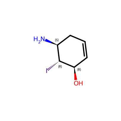 N[C@H]1CC=C[C@@H](O)[C@@H]1I